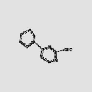 O=Cc1nccc(-c2ccccc2)n1